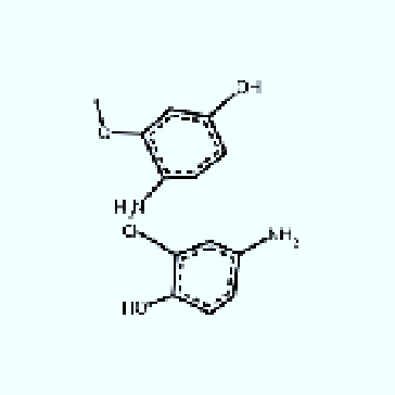 COc1cc(O)ccc1N.Nc1ccc(O)c(Cl)c1